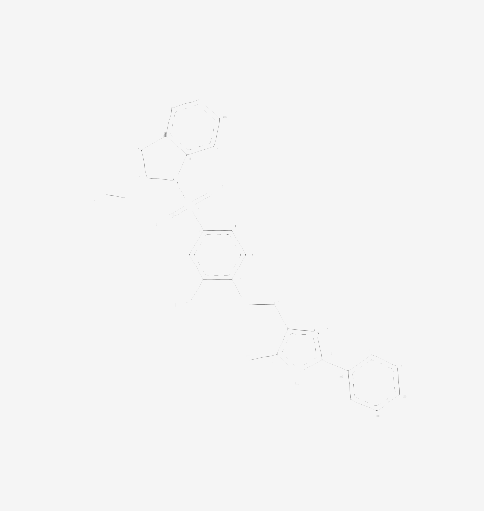 CCCc1cc(S(=O)(=O)N2c3ccccc3C[C@H]2OC(=O)O)ccc1OCc1nc(-c2ccccc2)oc1C